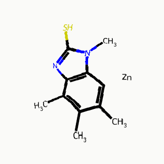 Cc1cc2c(nc(S)n2C)c(C)c1C.[Zn]